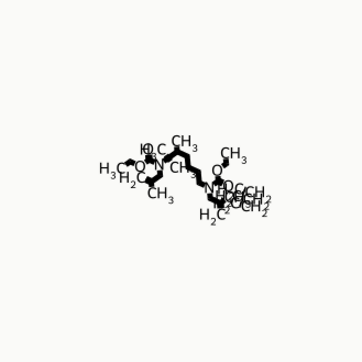 C=C.C=C.C=C.C=C(C)CN(CCCCC(C)C(C)(C)N(CC(=C)C)C(=O)OCC)C(=O)OCC